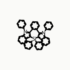 c1ccc(-n2c3c(c4ccccc42)[Si](c2ccccc2)(c2ccccc2)c2c(n(-c4ccccc4)c4ccccc24)-c2ccccc2-3)cc1